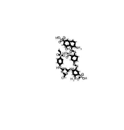 C=CS(=O)(=O)c1ccc(Nc2nc(Cl)nc(Nc3cc(N)c(S(=O)(=O)O)cc3/N=N/c3ccc(/N=N/c4c(N)ccc5cc(S(=O)(=O)O)cc(O)c45)c(S(=O)(=O)O)c3)n2)cc1